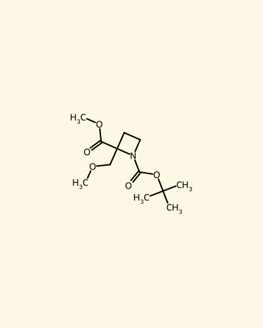 COCC1(C(=O)OC)CCN1C(=O)OC(C)(C)C